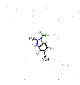 C#Cc1c(F)cc2c(nc(C)n2C(F)F)c1F